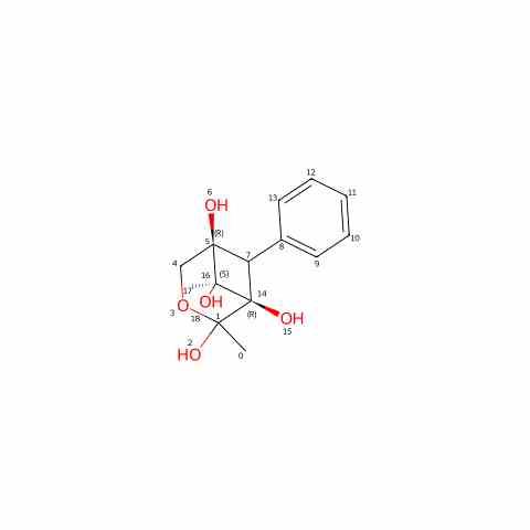 CC1(O)OC[C@]2(O)C(c3ccccc3)[C@@]1(O)[C@@]2(C)O